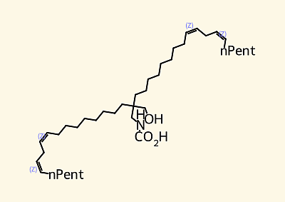 CCCCC/C=C\C/C=C\CCCCCCCCC(CO)(CCCCCCCC/C=C\C/C=C\CCCCC)CNC(=O)O